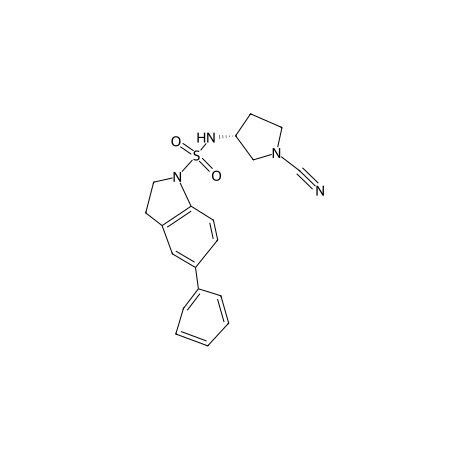 N#CN1CC[C@@H](NS(=O)(=O)N2CCc3cc(-c4ccccc4)ccc32)C1